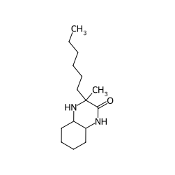 CCCCCCC1(C)NC2CCCCC2NC1=O